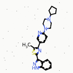 Cc1sc(-c2n[nH]c3ccccc23)nc1-c1ccc(N2CCN(C3CCCC3)CC2)nc1